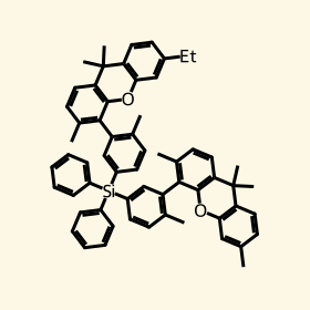 CCc1ccc2c(c1)Oc1c(ccc(C)c1-c1cc([Si](c3ccccc3)(c3ccccc3)c3ccc(C)c(-c4c(C)ccc5c4Oc4cc(C)ccc4C5(C)C)c3)ccc1C)C2(C)C